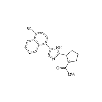 O=C(O)N1CCCC1c1ncc(-c2ccc(Br)c3ccccc23)[nH]1